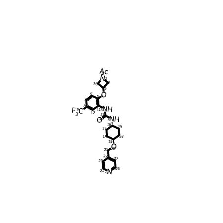 CC(=O)N1CC(Oc2ccc(C(F)(F)F)cc2NC(=O)N[C@H]2CC[C@H](OCc3ccncc3)CC2)C1